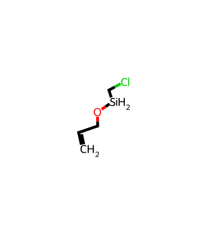 C=CCO[SiH2]CCl